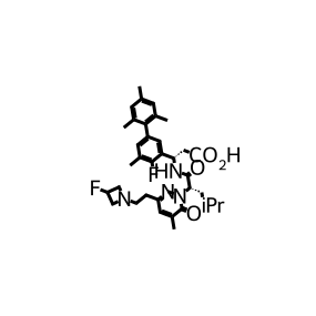 Cc1cc(C)c(-c2cc(C)c(F)c([C@H](CC(=O)O)NC(=O)[C@H](CC(C)C)n3nc(CCN4CC(F)C4)cc(C)c3=O)c2)c(C)c1